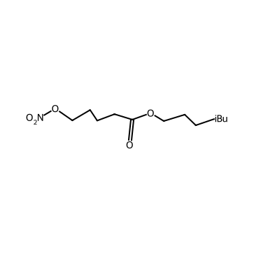 CCC(C)CCCOC(=O)CCCCO[N+](=O)[O-]